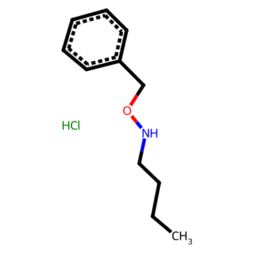 CCCCNOCc1ccccc1.Cl